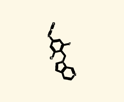 O=C=Nc1cc(F)c(Cn2ccc3ccncc32)c(Cl)c1